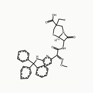 CON=C(C(=O)NC1C(=O)N2CC(CI)(C(=O)O)CS[C@H]12)c1csc(NC(c2ccccc2)(c2ccccc2)c2ccccc2)n1